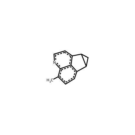 Cc1ccc2c3c(ccnc13)C1CC21